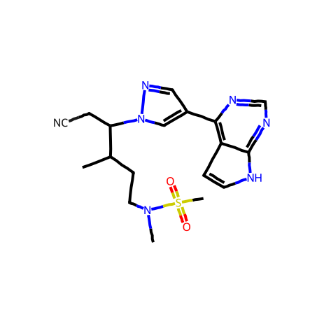 CC(CCN(C)S(C)(=O)=O)C(CC#N)n1cc(-c2ncnc3[nH]ccc23)cn1